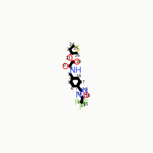 O=C(NCc1ccc(-c2noc(C(F)(F)F)n2)cc1)C(=O)OC1CCSC1